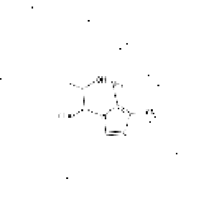 CCCCCCC(C(C)O)n1cnc(C#N)c1N